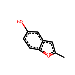 Cc1cc2cc(O)ccc2o1